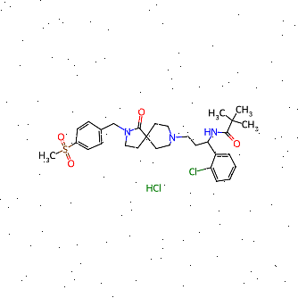 CC(C)(C)C(=O)NC(CCN1CCC2(CC1)CCN(Cc1ccc(S(C)(=O)=O)cc1)C2=O)c1ccccc1Cl.Cl